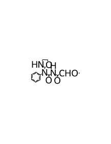 O=[C]C(=O)NC(=O)N(c1ccccc1)C1NCCO1